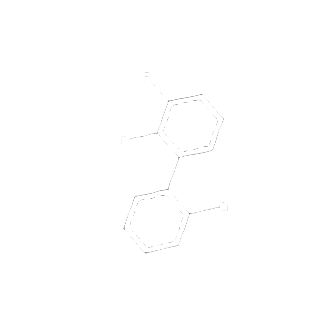 Fc1cccc(-c2c[c]ccc2Cl)c1F